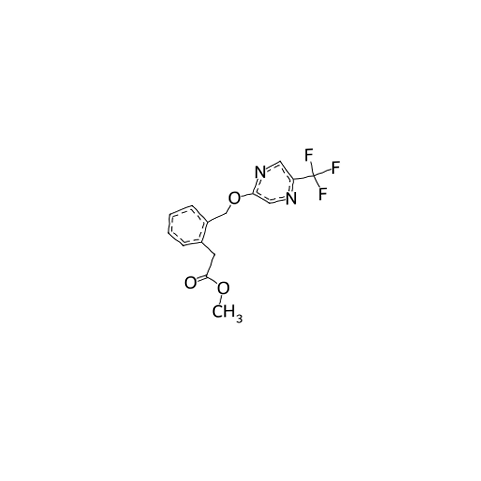 COC(=O)Cc1ccccc1COc1cnc(C(F)(F)F)cn1